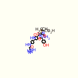 CC1(C)S[C@@H]2[C@H](N(C(=O)c3ccc(-c4ccc(NC(=O)Cc5nnn[nH]5)cc4)[nH]c3=O)C(=O)C(N)c3ccc(O)cc3)C(=O)N2[C@H]1C(=O)O